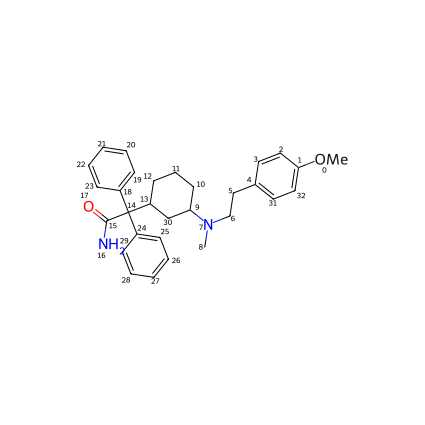 COc1ccc(CCN(C)C2CCCC(C(C(N)=O)(c3ccccc3)c3ccccc3)C2)cc1